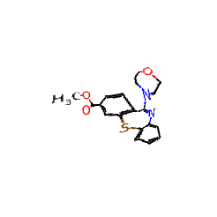 COC(=O)c1ccc2c(c1)Sc1ccccc1N=C2N1CCOCC1